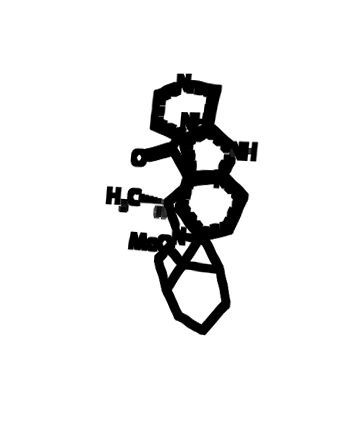 COC1(c2cccc(C(N)=O)c2)C2CCCC1CN([C@H](C)c1n[nH]c3cnccc13)C2